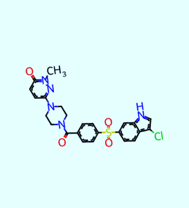 Cn1nc(N2CCN(C(=O)c3ccc(S(=O)(=O)c4ccc5c(Cl)c[nH]c5c4)cc3)CC2)ccc1=O